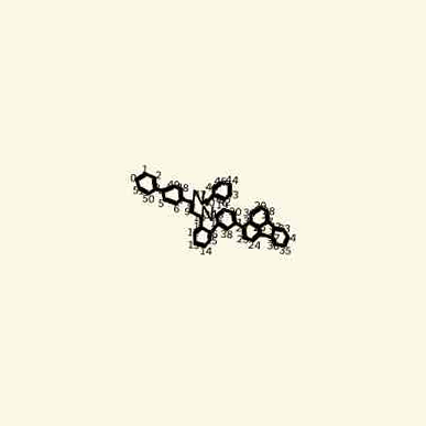 c1ccc(-c2ccc(-c3cc(-c4ccccc4-c4cccc(-c5ccc6c7c(cccc57)-c5ccccc5-6)c4)nc(-c4ccccc4)n3)cc2)cc1